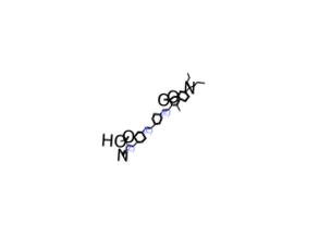 CCCN(CCC)c1ccc2c(C)c(/C=C/c3ccc(/C=C/c4ccc(/C=C(/C#N)C(=O)O)cc4)cc3)c(=O)oc2c1